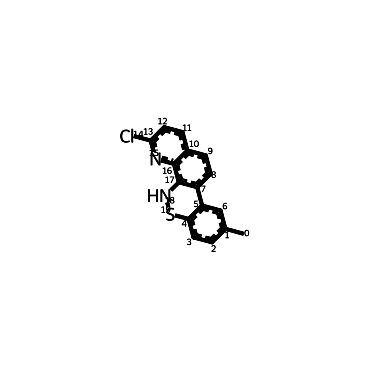 Cc1ccc2c(c1)-c1ccc3ccc(Cl)nc3c1NS2